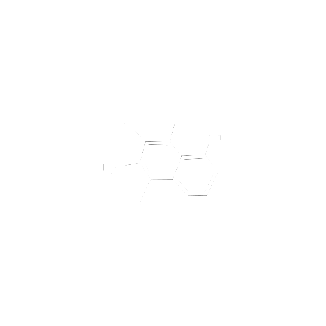 CCCCc1c(P)c(O)c2cccc(CCC)c2c1O